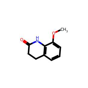 COc1cccc2c1NC(=O)[CH]C2